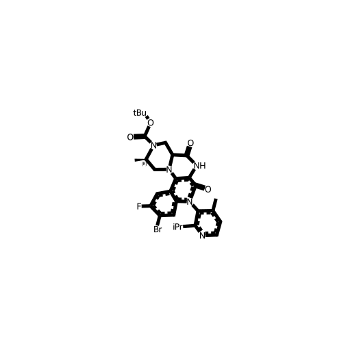 Cc1ccnc(C(C)C)c1-n1c(=O)c2c(c3cc(F)c(Br)cc31)N1C[C@@H](C)N(C(=O)OC(C)(C)C)CC1C(=O)N2